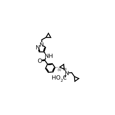 O=C(Nc1cnn(CC2CC2)c1)c1cccc([C@@H]2C[C@H]2N(CC2CC2)C(=O)O)c1